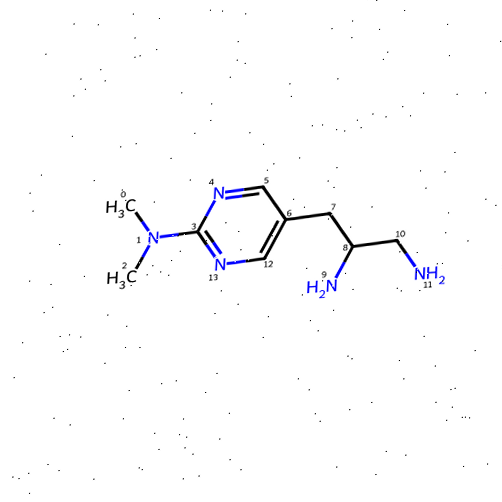 CN(C)c1ncc(CC(N)CN)cn1